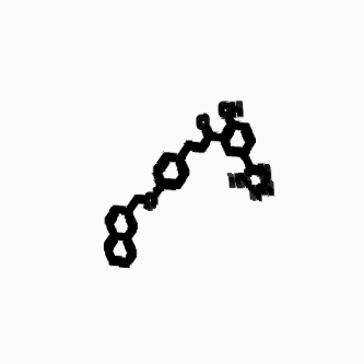 O=C(C=Cc1ccc(OCc2ccc3ccccc3c2)cc1)c1cc(-c2nnn[nH]2)ccc1O